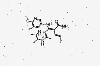 COc1ncc(NC(/N=C(\C)NC(C)C(C)N)=C(/C=C/F)C(N)=O)cc1F